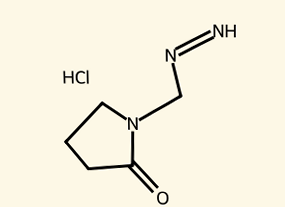 Cl.N=NCN1CCCC1=O